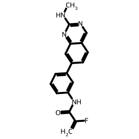 C=C(F)C(=O)Nc1cccc(-c2ccc3cnc(NC)nc3c2)c1